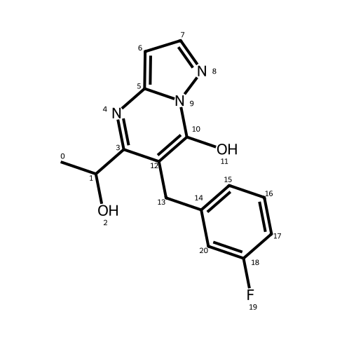 CC(O)c1nc2ccnn2c(O)c1Cc1cccc(F)c1